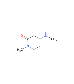 CNC1CCN(C)C(=O)C1